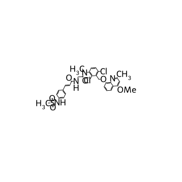 COc1cc(C)nc2c(OCc3c(Cl)ccc(N(C)C(=O)CNC(=O)C=Cc4ccc(NS(C)(=O)=O)cc4)c3Cl)cccc12